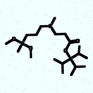 CO[Si](C)(CCCN(C)CCC(=O)O[Si](C(C)C)(C(C)C)C(C)C)OC